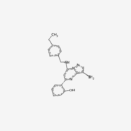 Bc1cnn2c(NCc3ccc(CC)cc3)cc(-c3ccccc3O)nc12